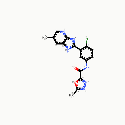 Cc1cnc2nc(-c3cc(NC(=O)c4nnc(C)o4)ccc3Cl)[nH]c2c1